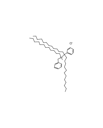 CCCCCCCCCCCCC(CCCCCCCCCCCC)(c1ccccc1)[N+](C)(CCCCCCCCCCCC)Cc1ccccc1.[Cl-]